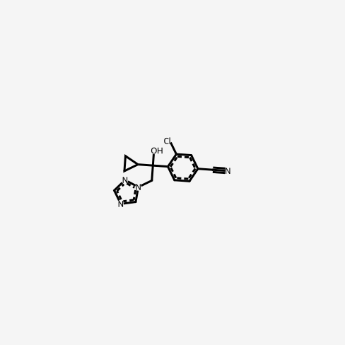 N#Cc1ccc(C(O)(Cn2cncn2)C2CC2)c(Cl)c1